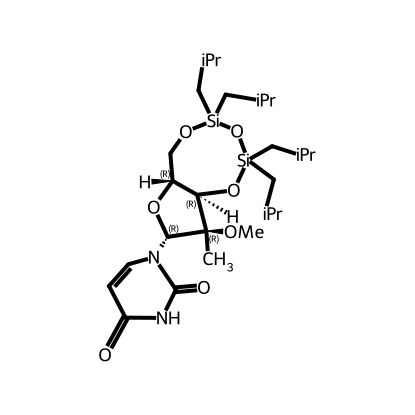 CO[C@]1(C)[C@@H]2O[Si](CC(C)C)(CC(C)C)O[Si](CC(C)C)(CC(C)C)OC[C@H]2O[C@H]1n1ccc(=O)[nH]c1=O